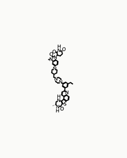 CCc1cc(-c2ccc3c(ccc4sc5c(c43)NC[C@@H](C)NC5=O)n2)cc(N2CCN(CC3CCN(c4ccc5c(c4)n(C)c(=O)n5C4CCC(=O)NC4=O)CC3)CC2)c1